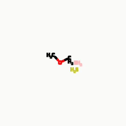 B.COC.S